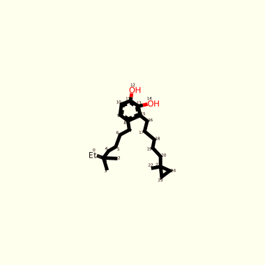 CCC(C)(C)CCCCc1ccc(O)c(O)c1CCCCCC1(C)CC1